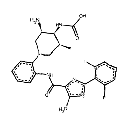 C[C@H]1CN(c2ccccc2NC(=O)c2nc(-c3c(F)cccc3F)sc2N)C[C@@H](N)[C@H]1NC(=O)O